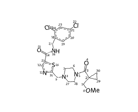 COCC1(C(=O)N2CCN(Cc3ncc(C(=O)NCc4ccc(Cl)cc4Cl)s3)CC2)CC1